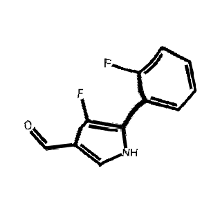 O=Cc1c[nH]c(-c2ccccc2F)c1F